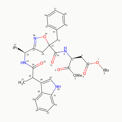 COC(=O)[C@H](CC(=O)OC(C)(C)C)NC(=O)C1(Cc2ccccc2)CC([C@@H](NC(=O)C(C)c2c[nH]c3ccccc23)C(C)C)=NO1